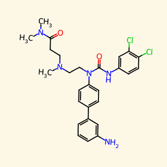 CN(CCC(=O)N(C)C)CCN(C(=O)Nc1ccc(Cl)c(Cl)c1)c1ccc(-c2cccc(N)c2)cc1